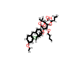 CCCCO[C@@H]1[C@@H](OCCCC)[C@@]2(c3ccc(Cl)c(Cc4ccc(OCC)cc4)c3)OC(C)(C)[C@](CO)(O2)[C@H]1OCCCC